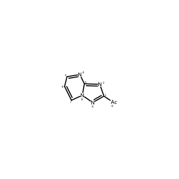 CC(=O)c1nc2ncccn2n1